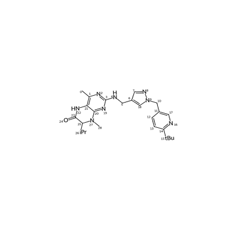 Cc1nc(NCc2cnn(Cc3ccc(C(C)(C)C)nc3)c2)nc2c1NC(=O)C(C(C)C)N2C